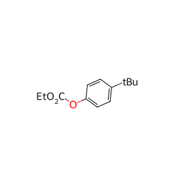 C[CH]OC(=O)Oc1ccc(C(C)(C)C)cc1